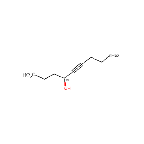 CCCCCCCCC#C[C@@H](O)CCC(=O)O